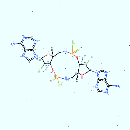 Nc1ncnc2c1ncn2C1O[C@@H]2CNP(=S)(S)O[C@H]3[C@@H](F)[C@H](n4cnc5c(N)ncnc54)O[C@@H]3CNP(=S)(S)O[C@H]2[C@H]1F